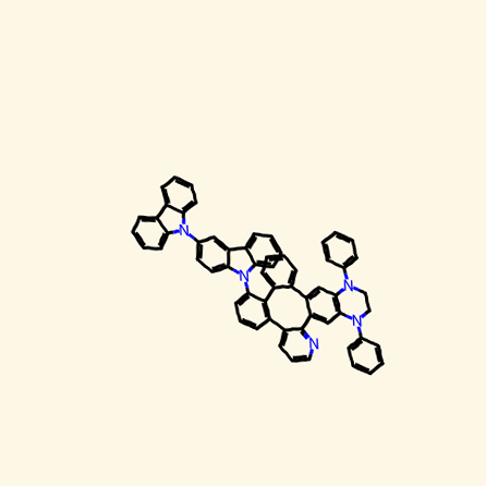 c1ccc(N2CCN(c3ccccc3)c3cc4c(cc32)-c2ccccc2-c2c(cccc2-n2c3ccccc3c3cc(-n5c6ccccc6c6ccccc65)ccc32)-c2cccnc2-4)cc1